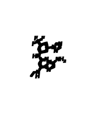 CCNc1cc(Nc2cc(-n3cncn3)cc(C(F)(F)F)c2)nn2c(N)cnc12